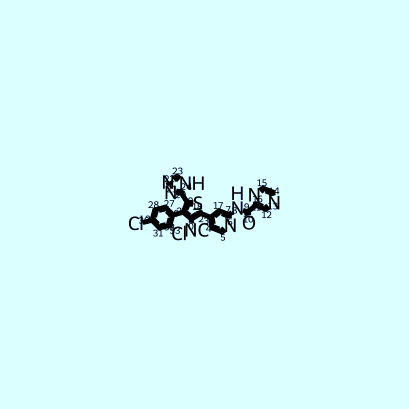 [C-]#[N+]c1c(-c2ccnc(NC(=O)c3cnccn3)c2)sc(-c2nnc[nH]2)c1-c1ccc(Cl)cc1Cl